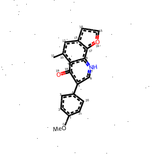 COc1ccc(-c2c[nH]c3c(c(C)cc4ccoc43)c2=O)cc1